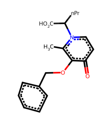 CCCC(C(=O)O)n1ccc(=O)c(OCc2ccccc2)c1C